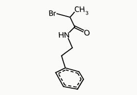 CC(Br)C(=O)NCCc1ccccc1